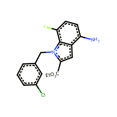 CCOC(=O)c1cc2c(N)ccc(F)c2n1Cc1cccc(Cl)c1